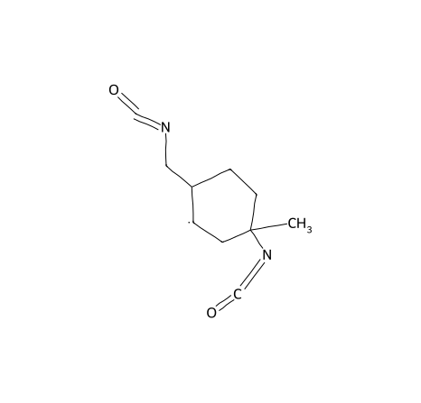 CC1(N=C=O)C[CH]C(CN=C=O)CC1